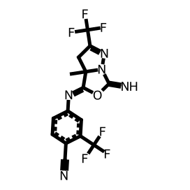 CC12CC(C(F)(F)F)=NN1C(=N)OC2=Nc1ccc(C#N)c(C(F)(F)F)c1